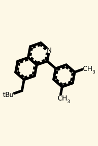 Cc1cc(C)cc(-c2nccc3ccc(CC(C)(C)C)cc23)c1